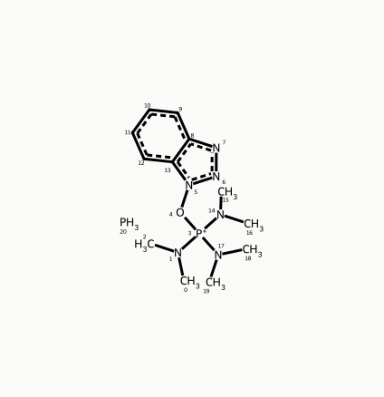 CN(C)[P+](On1nnc2ccccc21)(N(C)C)N(C)C.P